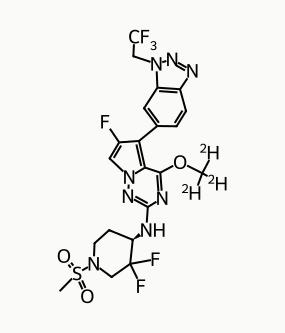 [2H]C([2H])([2H])Oc1nc(N[C@@H]2CCN(S(C)(=O)=O)CC2(F)F)nn2cc(F)c(-c3ccc4nnn(CC(F)(F)F)c4c3)c12